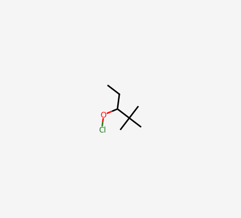 CCC(OCl)C(C)(C)C